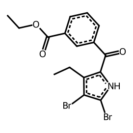 CCOC(=O)c1cccc(C(=O)c2[nH]c(Br)c(Br)c2CC)c1